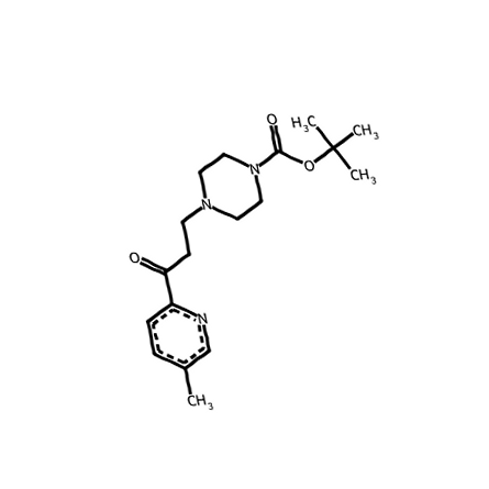 Cc1ccc(C(=O)CCN2CCN(C(=O)OC(C)(C)C)CC2)nc1